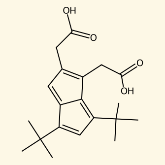 CC(C)(C)C1=CC(C(C)(C)C)=C2C1=CC(CC(=O)O)=C2CC(=O)O